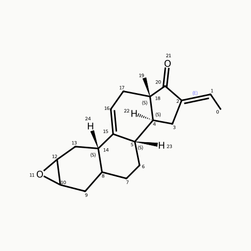 C/C=C1\C[C@H]2[C@@H]3CCC4CC5OC5C[C@@H]4C3=CC[C@]2(C)C1=O